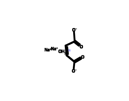 O.O=C([O-])/C=C\C(=O)[O-].[Na+].[Na+]